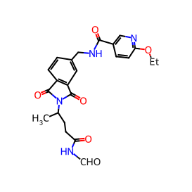 CCOc1ccc(C(=O)NCc2ccc3c(c2)C(=O)N(C(C)CCC(=O)NC=O)C3=O)cn1